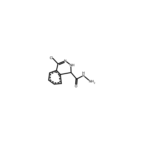 NNC(=O)C1NN=C(Cl)c2ccccc21